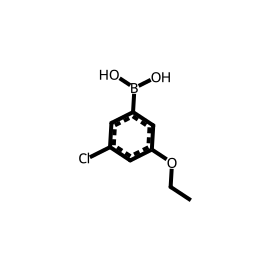 CCOc1cc(Cl)cc(B(O)O)c1